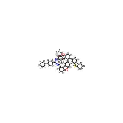 CCC1=C(c2ccccc2)N=C(c2ccc(-c3ccccc3)cc2)N=C(c2cccc3oc4ccc(-c5c(-c6ccc7c(c6)sc6ccccc67)ccc6oc7ccccc7c56)cc4c23)C1